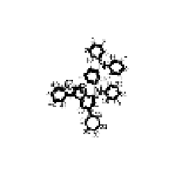 c1ccc(N(c2ccccc2)c2ccc3c(c2)N(c2ccccc2)c2cc(C4CCCCC4)cc4c2B3c2oc3ccccc3c2-4)cc1